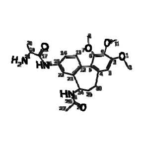 COc1cc2c(c(OC)c1OC)-c1ccc(NC(=O)C(C)N)cc1C(NC(C)=O)CC2